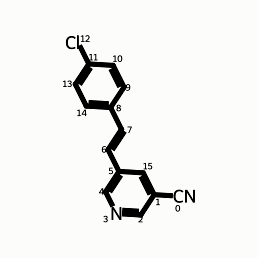 N#Cc1cncc(C=Cc2ccc(Cl)cc2)c1